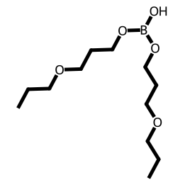 CCCOCCCOB(O)OCCCOCCC